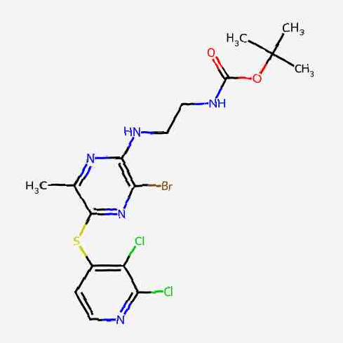 Cc1nc(NCCNC(=O)OC(C)(C)C)c(Br)nc1Sc1ccnc(Cl)c1Cl